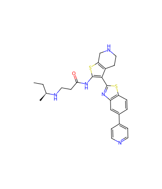 CC[C@H](C)NCCC(=O)Nc1sc2c(c1-c1nc3cc(-c4ccncc4)ccc3s1)CCNC2